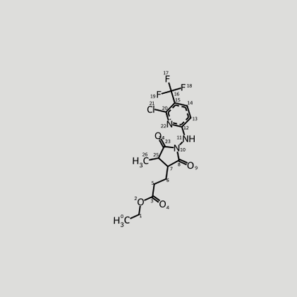 CCOC(=O)CCC1C(=O)N(Nc2ccc(C(F)(F)F)c(Cl)n2)C(=O)C1C